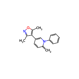 C=C1C=CC(c2c(C)noc2C)=CN1c1ccccc1